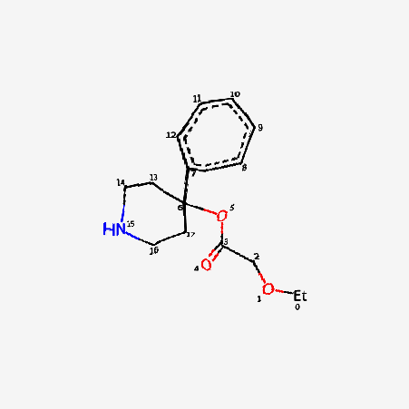 CCOCC(=O)OC1(c2ccccc2)CCNCC1